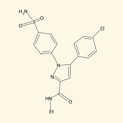 CCNC(=O)c1cc(-c2ccc(Cl)cc2)n(-c2ccc(S(N)(=O)=O)cc2)n1